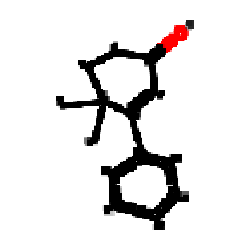 CC1(C)CCC(=O)C=C1c1ccccc1